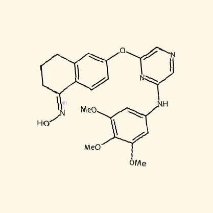 COc1cc(Nc2cncc(Oc3ccc4c(c3)CCC/C4=N\O)n2)cc(OC)c1OC